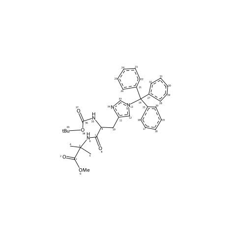 COC(=O)C(C)(C)NC(=O)C(Cc1cn(C(c2ccccc2)(c2ccccc2)c2ccccc2)cn1)NC(=O)OC(C)(C)C